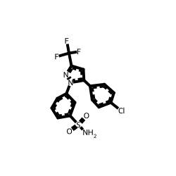 NS(=O)(=O)c1cccc(-n2nc(C(F)(F)F)cc2-c2ccc(Cl)cc2)c1